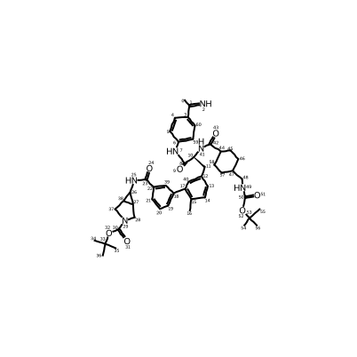 CC(=N)c1ccc(NC(=O)[C@H](Cc2ccc(C)c(-c3cccc(C(=O)NC4C5CN(C(=O)OC(C)(C)C)CC54)c3)c2)NC(=O)C2CCC(CNC(=O)OC(C)(C)C)CC2)cc1